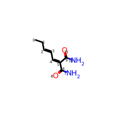 CCC=CC=C(C(N)=O)C(N)=O